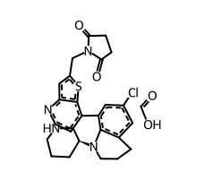 O=C1CCC(=O)N1Cc1cc2nccc(-c3cc(Cl)cc4c3N([C@H]3CCCNC3)CCC4)c2s1.O=CO